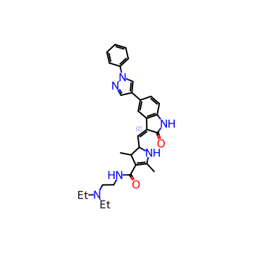 CCN(CC)CCNC(=O)C1=C(C)NC(/C=C2\C(=O)Nc3ccc(-c4cnn(-c5ccccc5)c4)cc32)C1C